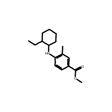 CCC1CCCCC1Nc1ccc(C(=O)OC)cc1C